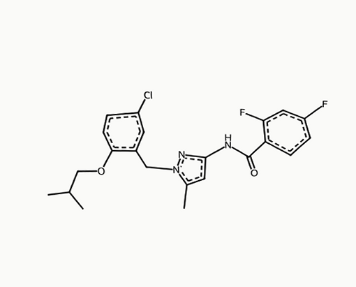 Cc1cc(NC(=O)c2ccc(F)cc2F)nn1Cc1cc(Cl)ccc1OCC(C)C